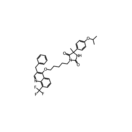 CC(C)Oc1ccc(C2(C)NC(=O)N(CCCCCOc3c(Cc4ccccc4)cnc4c(C(F)(F)F)cccc34)C2=O)cc1